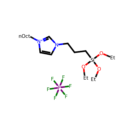 CCCCCCCC[n+]1ccn(CCC[Si](OCC)(OCC)OCC)c1.F[P-](F)(F)(F)(F)F